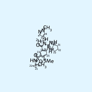 [2H]C([2H])(c1cnn(C)c1)N1C(=O)c2cc(S(=O)(=O)NC3(C)CC3)c(SC)cc2N2C1=N[C@H]1CCC[C@H]12